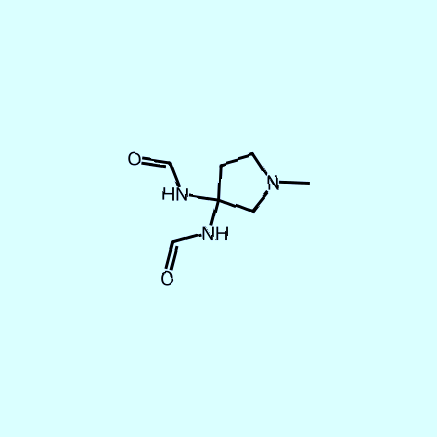 CN1CCC(NC=O)(NC=O)C1